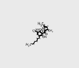 CCCCCCc1cc(Cl)c(O)c(C(=O)c2[nH]c(C)cc2C)c1O